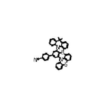 CC1(C)c2ccccc2N2c3cc(-c4ccc(C#N)cc4)cc4c3B(c3cccc5c3N4c3ccccc3S5)c3cccc1c32